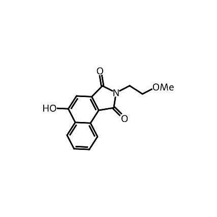 COCCN1C(=O)c2cc(O)c3ccccc3c2C1=O